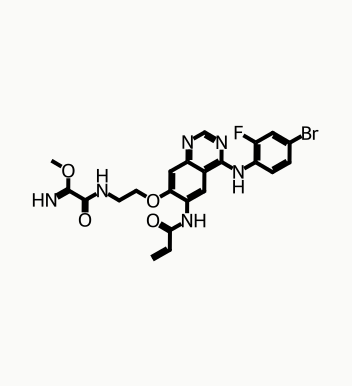 C=CC(=O)Nc1cc2c(Nc3ccc(Br)cc3F)ncnc2cc1OCCNC(=O)C(=N)OC